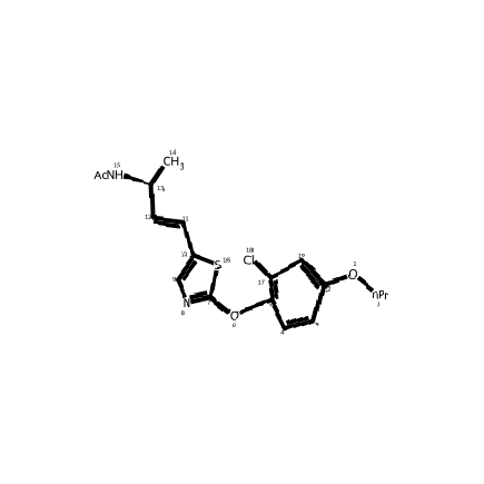 CCCOc1ccc(Oc2ncc(/C=C/[C@H](C)NC(C)=O)s2)c(Cl)c1